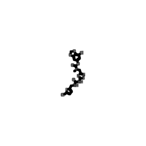 CN(Cc1nsc(NC(=O)NCc2ccc(Cl)s2)n1)C(=O)Oc1cc(Cl)c2c(c1)OCO2